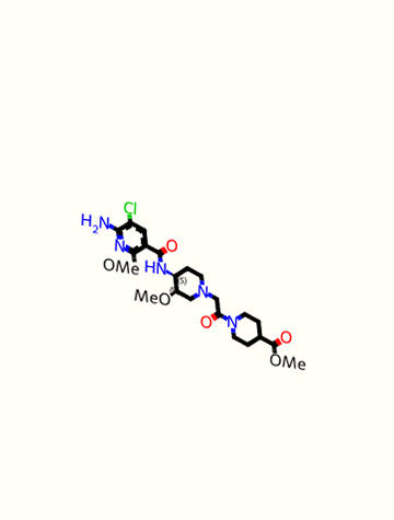 COC(=O)C1CCN(C(=O)CN2CC[C@H](NC(=O)c3cc(Cl)c(N)nc3OC)[C@H](OC)C2)CC1